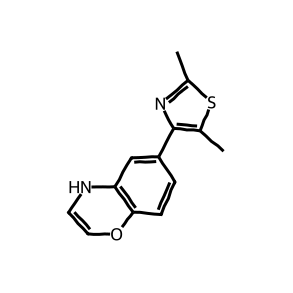 Cc1nc(-c2ccc3c(c2)NC=CO3)c(C)s1